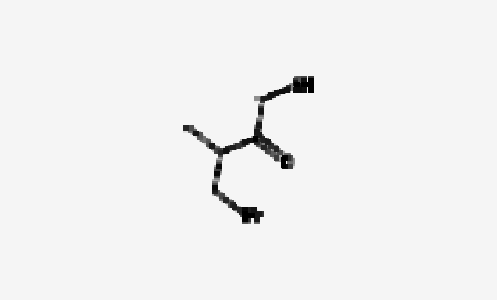 [CH2]C(CC(C)C)C(=O)[CH]S